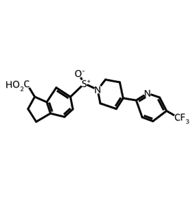 O=C(O)C1CCc2ccc([S+]([O-])N3CC=C(c4ccc(C(F)(F)F)cn4)CC3)cc21